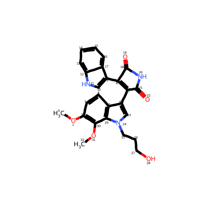 COc1ccc2c(C3=C(c4c[nH]c5ccccc45)C(=O)NC3=O)cn(CCCO)c2c1OC